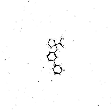 O=C(O)C1(Cc2cccc(-c3ncccn3)c2)CCCC1